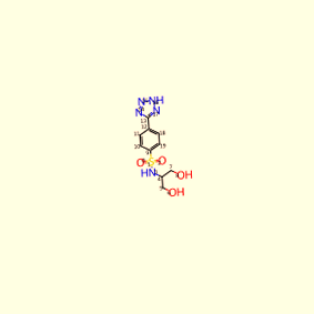 O=S(=O)(NC(CO)CO)c1ccc(-c2nn[nH]n2)cc1